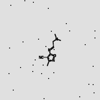 Cc1noc(N=CCN(C)C)c1C#N